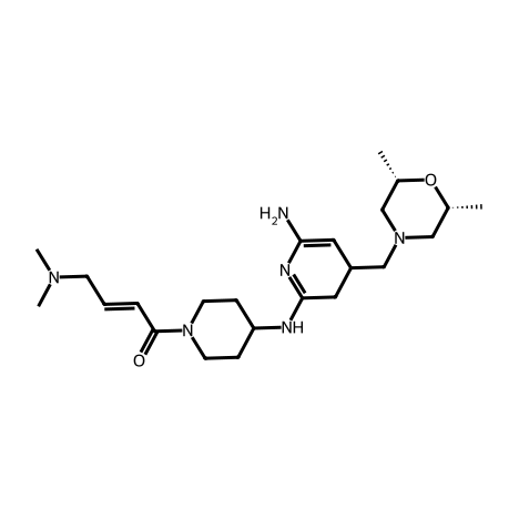 C[C@@H]1CN(CC2C=C(N)N=C(NC3CCN(C(=O)/C=C/CN(C)C)CC3)C2)C[C@H](C)O1